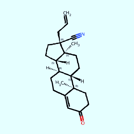 C=CC[C@]1(C#N)CC[C@H]2[C@@H]3CCC4=CC(=O)CC[C@]4(C)[C@H]3CC[C@@]21C